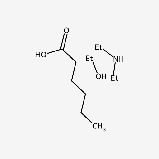 CCCCCC(=O)O.CCNCC.CCO